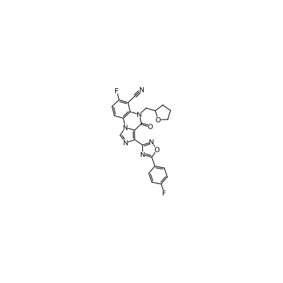 N#Cc1c(F)ccc2c1n(CC1CCCO1)c(=O)c1c(-c3noc(-c4ccc(F)cc4)n3)ncn12